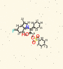 Cc1ccc(S(=O)(=O)OC[C@@H](O)[C@H](c2ccccc2)n2cc(C)c3cc(F)ccc32)cc1